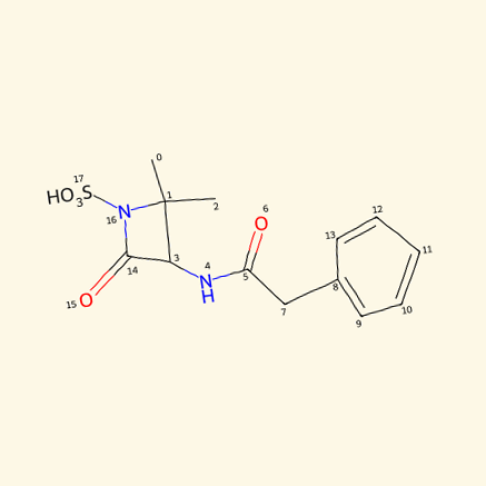 CC1(C)C(NC(=O)Cc2ccccc2)C(=O)N1S(=O)(=O)O